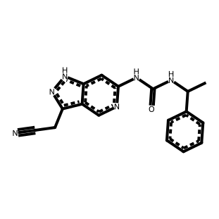 CC(NC(=O)Nc1cc2[nH]nc(CC#N)c2cn1)c1ccccc1